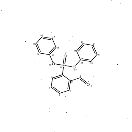 O=Cc1ccccc1P(=O)(Oc1ccccc1)Oc1ccccc1